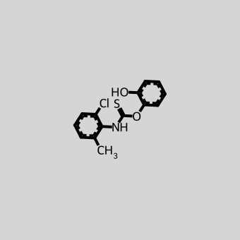 Cc1cccc(Cl)c1NC(=S)Oc1ccccc1O